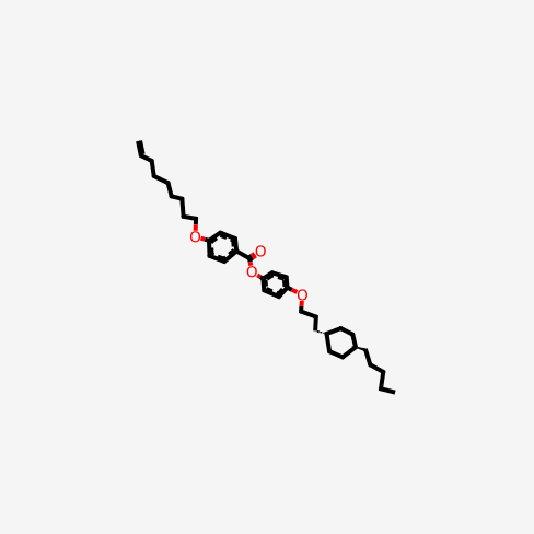 C=CCCCCCCCOc1ccc(C(=O)Oc2ccc(OCCC[C@H]3CC[C@H](CCCCC)CC3)cc2)cc1